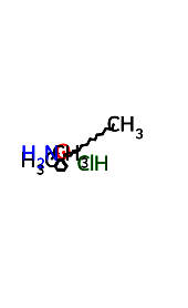 CCCCCCCCCCCCC(=O)c1ccccc1C(C)(C)N.Cl